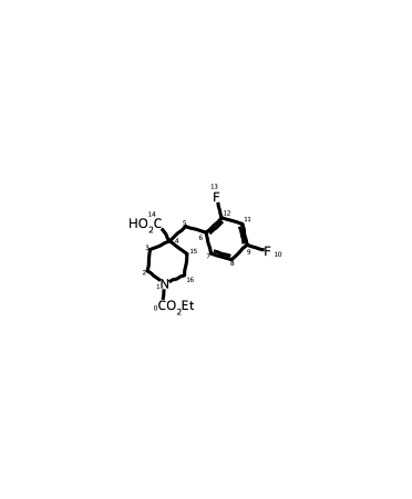 CCOC(=O)N1CCC(Cc2ccc(F)cc2F)(C(=O)O)CC1